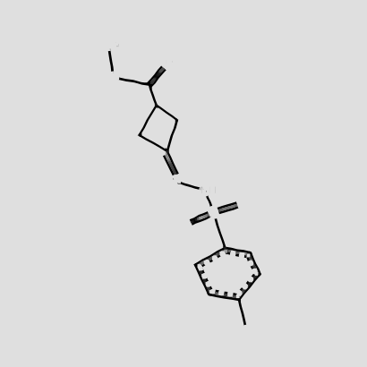 Cc1ccc(S(=O)(=O)NN=C2CC(C(=O)OC(C)(C)C)C2)cc1